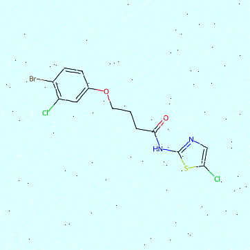 O=C(CCCOc1ccc(Br)c(Cl)c1)Nc1ncc(Cl)s1